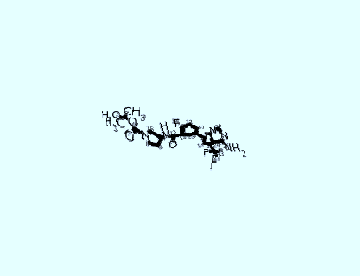 CC(C)(C)OC(=O)N1CC[C@H](NC(=O)c2cc(-c3cc(C(F)(F)F)c4c(N)ncnn34)ccc2F)C1